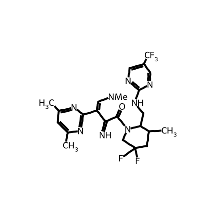 CN/C=C(\C(=N)C(=O)N1CC(F)(F)CC(C)C1CNc1ncc(C(F)(F)F)cn1)c1nc(C)cc(C)n1